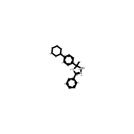 CC1(c2ccc(C3CCCCC3)cc2)NN=C(c2ccccc2)S1